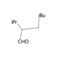 CCC(C)CC(C=O)C(C)C